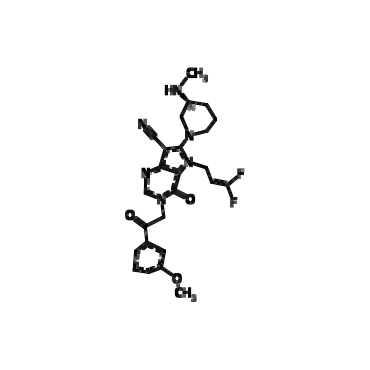 CN[C@H]1CCCN(c2c(C#N)c3ncn(CC(=O)c4cccc(OC)c4)c(=O)c3n2CC=C(F)F)C1